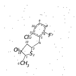 CC1SC(Cc2c(F)cccc2Cl)CC1=O